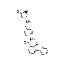 O=C1CC(NCc2ccc(NC(=O)c3cccc(-c4ccccc4)c3Cl)nc2)CN1